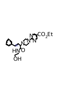 CCOC(=O)c1cnc(N2CCN(C(/C=C/c3ccccc3)C(=O)NCCO)CC2)nc1